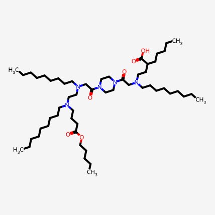 CCCCCCCCCN(CCCC(=O)OCCCCC)CCN(CCCCCCCCC)CC(=O)N1CCN(C(=O)CN(CCCCCCCCC)CCC(CCCCC)C(=O)O)CC1